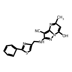 Cc1cc(O)n2nc(NCc3csc(-c4ccccc4)n3)c(C#N)c2n1